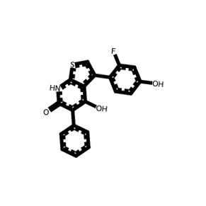 O=c1[nH]c2scc(-c3ccc(O)cc3F)c2c(O)c1-c1ccccc1